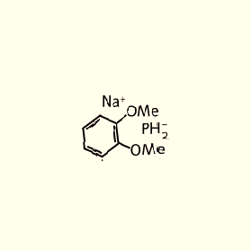 COc1[c]cccc1OC.[Na+].[PH2-]